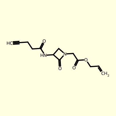 C#CCCC(=O)NC1CN(CC(=O)OCC=C)C1=O